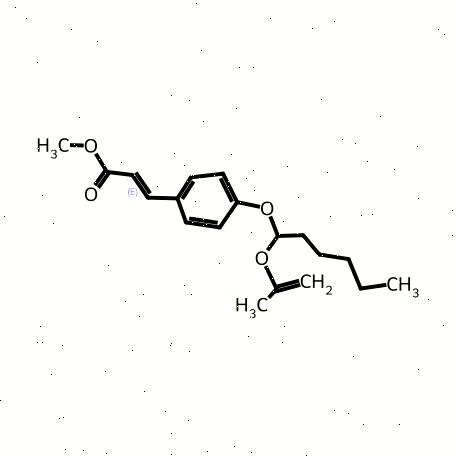 C=C(C)OC(CCCCC)Oc1ccc(/C=C/C(=O)OC)cc1